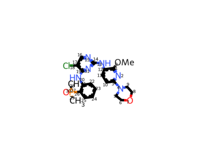 COc1nc(N2CCOCC2)ccc1Nc1ncc(Cl)c(Nc2ccccc2P(C)(C)=O)n1